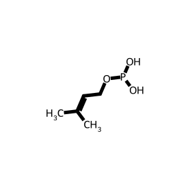 CC(C)=CCOP(O)O